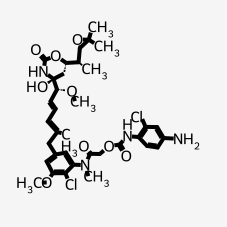 COc1cc(C/C(C)=C/C=C/[C@@H](OC)[C@@]2(O)C[C@@H]([C@@H](C)[C@@H]3OC3(C)C)OC(=O)N2)cc(N(C)C(=O)COC(=O)Nc2ccc(N)cc2Cl)c1Cl